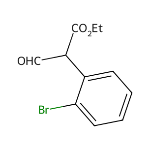 CCOC(=O)C(C=O)c1ccccc1Br